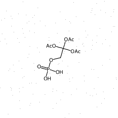 CC(=O)OC(COP(=O)(O)O)(OC(C)=O)OC(C)=O